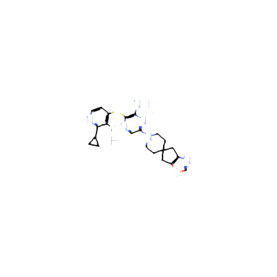 Cc1c(Sc2ncc(N3CCC4(CC3)Cc3ncoc3C4)nc2N)ccnc1C1CC1